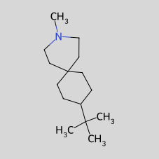 CN1CCC2(CCC(C(C)(C)C)CC2)CC1